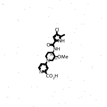 CO[C@H]1CN(c2ccnc(C(=O)O)c2)CC[C@H]1NC(=O)c1cc(Cl)c(C)[nH]1